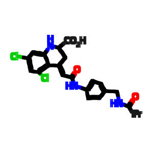 CC(C)C(=O)NCc1ccc(NC(=O)C=C2CC(C(=O)O)Nc3cc(Cl)cc(Cl)c32)cc1